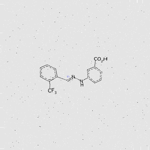 O=C(O)c1cccc(N/N=C/c2ccccc2C(F)(F)F)c1